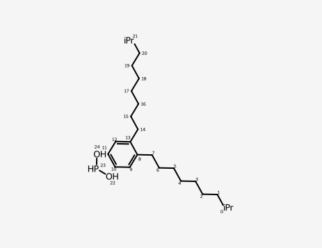 CC(C)CCCCCCCc1ccccc1CCCCCCCC(C)C.OPO